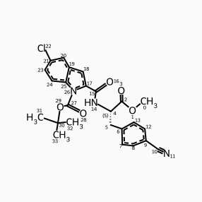 COC(=O)[C@H](Cc1ccc(C#N)cc1)NC(=O)c1cc2cc(Cl)ccc2n1C(=O)OC(C)(C)C